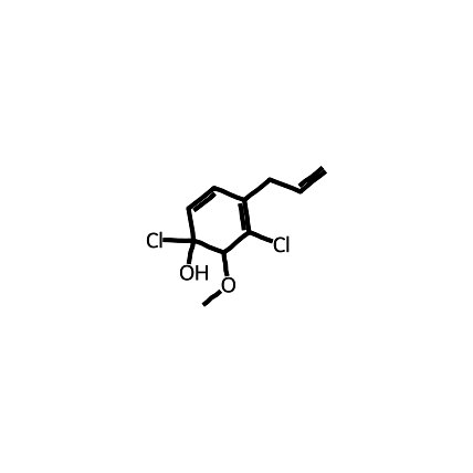 C=CCC1=C(Cl)C(OC)C(O)(Cl)C=C1